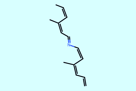 C=C\C=C(C)/C=C\N=C\C=C(C)/C=C\C